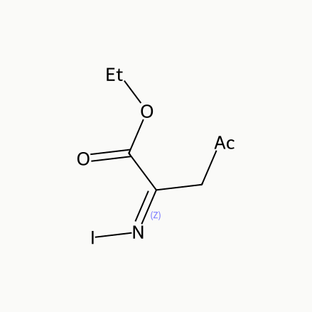 CCOC(=O)/C(CC(C)=O)=N\I